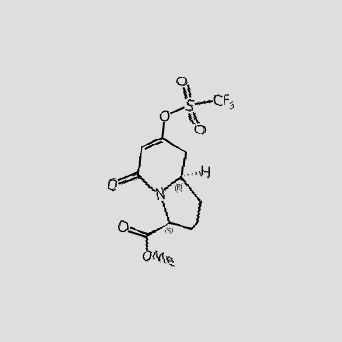 COC(=O)[C@@H]1CC[C@@H]2CC(OS(=O)(=O)C(F)(F)F)=CC(=O)N21